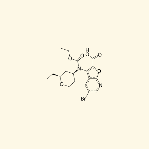 CCOC(=O)N(c1c(C(=O)O)oc2ncc(Br)cc12)[C@H]1CCO[C@@H](CC)C1